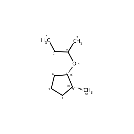 CCC(C)O[C@H]1CCC[C@H]1C